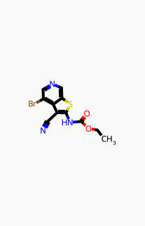 CCOC(=O)Nc1sc2cncc(Br)c2c1C#N